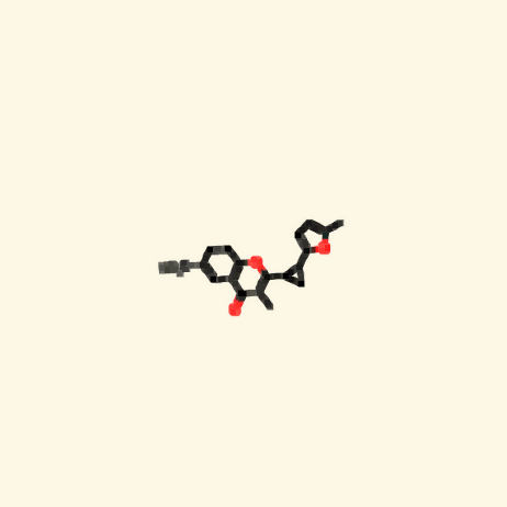 Cc1ccc(C2CC2c2oc3ccc(C(=O)O)cc3c(=O)c2C)o1